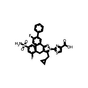 Cc1cc(F)c(-c2ccccc2)cc1-c1nn(-c2nc(C(=O)O)cs2)c(CC2CC2)c1Cc1ccc(S(N)(=O)=O)cc1F